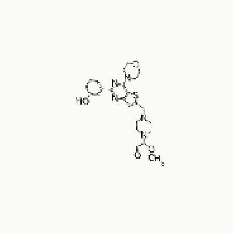 COC(C=O)N1CCN(Cc2cc3nc(-c4cccc(O)c4)nc(N4CCOCC4)c3s2)CC1